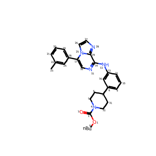 CCCCOC(=O)N1CCC(c2cccc(Nc3ncc(-c4cccc(C)c4)n4ccnc34)c2)CC1